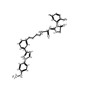 Cc1ccc(C(C)C)c(N2C(=O)CSC2=NC(=O)NCCCCc2cccc(-c3ncn(-c4ccc(OC(F)(F)F)cc4)n3)c2)c1